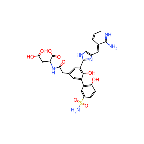 C/C=C\C(=C/c1c[nH]c(-c2cc(CC(=O)N[C@@H](CC(=O)O)C(=O)O)cc(-c3cc(S(N)(=O)=O)ccc3O)c2O)n1)C(=N)N